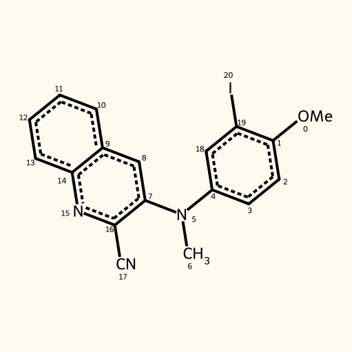 COc1ccc(N(C)c2cc3ccccc3nc2C#N)cc1I